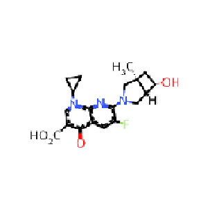 C[C@]12C[C@H](O)[C@@H]1CN(c1nc3c(cc1F)c(=O)c(C(=O)O)cn3C1CC1)C2